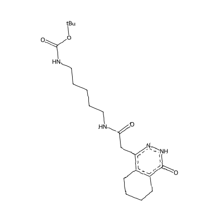 CC(C)(C)OC(=O)NCCCCCNC(=O)Cc1n[nH]c(=O)c2c1CCCC2